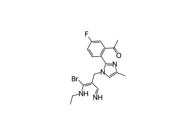 CCN/C(Br)=C(\C=N)Cn1cc(C)nc1-c1ccc(F)cc1C(C)=O